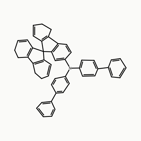 C1=CC2=C(CC1)C1=C(C=CCC1)C21C2=C(CCC=C2)c2ccc(N(c3ccc(-c4ccccc4)cc3)c3ccc(-c4ccccc4)cc3)cc21